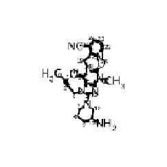 CC#CCn1c(N2CCCC(N)C2)nc2c1c(=O)n(Cc1ncccc1C#N)c(=O)n2C